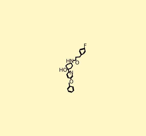 O=C(CCc1ccc(F)cc1)N[C@H]1CC[C@@](O)(c2ccc(OCc3ccccc3)cn2)CC1